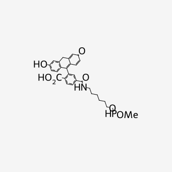 COPOCCCCCCNC(=O)c1ccc(C(=O)O)c(C2=C3C=CC(=O)C=C3Cc3cc(O)ccc32)c1